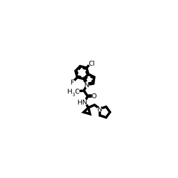 CC(C(=O)NC1(CN2CCCC2)CC1)n1ccc2c(Cl)ccc(F)c21